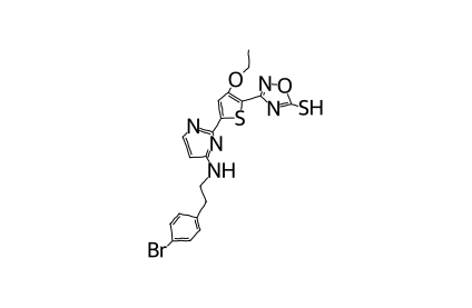 CCOc1cc(-c2nccc(NCCc3ccc(Br)cc3)n2)sc1-c1noc(S)n1